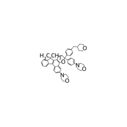 CC1(C)c2ccccc2-c2c1c1c(c3cc(N4CCOCC4)ccc23)OC(c2ccc(CC3CCOCC3)cc2)(c2ccc(N3CCOCC3)cc2)C=C1